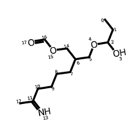 CCC(O)OCC(CCCCC(C)=N)COC=O